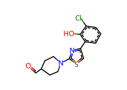 O=CC1CCN(c2nc(-c3cccc(Cl)c3O)cs2)CC1